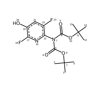 CC(C)(C)OC(=O)N(C(=O)OC(C)(C)C)c1nc(F)c(O)cc1F